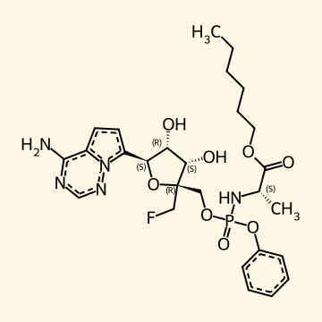 CCCCCCOC(=O)[C@H](C)NP(=O)(OC[C@@]1(CF)O[C@@H](c2ccc3c(N)ncnn23)[C@H](O)[C@@H]1O)Oc1ccccc1